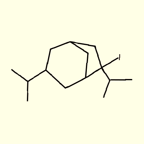 CC(C)C1CC2CC(C1)C(I)(C(C)C)C2